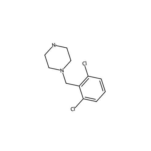 Clc1cccc(Cl)c1CN1CC[N]CC1